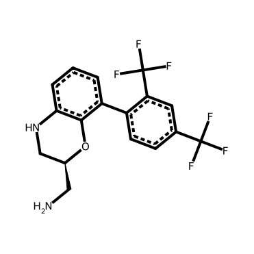 NC[C@H]1CNc2cccc(-c3ccc(C(F)(F)F)cc3C(F)(F)F)c2O1